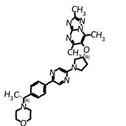 Cc1nc2nc(C)c(O[C@@H]3CCN(c4cnc(-c5ccc([C@@H](C)N6CCOCC6)cc5)cn4)C3)c(C)n2n1